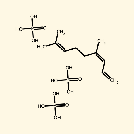 C=CC=C(C)CCC=C(C)C.O=P(O)(O)O.O=P(O)(O)O.O=P(O)(O)O